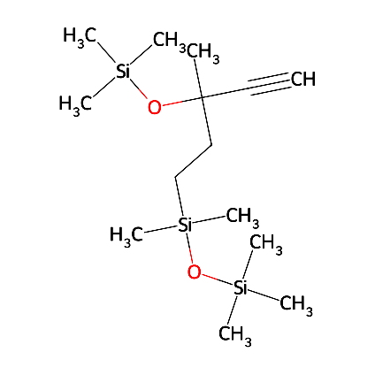 C#CC(C)(CC[Si](C)(C)O[Si](C)(C)C)O[Si](C)(C)C